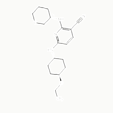 CCO[C@H]1CC[C@H](Nc2ccc(C#N)c(N[C@H]3CCCOC3)n2)CC1